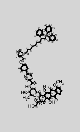 COc1cccc2c1C(=O)c1c(O)c3c(c(O)c1C2=O)C[C@@](O)(C(=O)CO)C[C@@H]3O[C@H]1C[C@H](NC(=O)c2nnc(-c3ccc(OCc4cnnn4CCCCCCCCC[PH](c4ccccc4)(c4ccccc4)c4ccccc4)cc3)nn2)[C@H](O)[C@H](C)O1